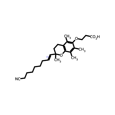 Cc1c(C)c2c(c(C)c1OCCC(=O)O)CCC(C)(/C=C/CCCCCCC#N)O2